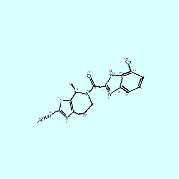 CC(=O)Nc1nc2c(s1)[C@@H](C)N(C(=O)c1nc3cccc(Cl)c3[nH]1)CC2